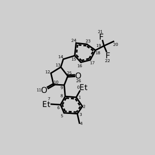 CCc1cc(C)cc(CC)c1C1C(=O)CC(Cc2ccc(C(C)(F)F)cc2)C1=O